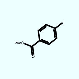 [CH2]OC(=O)c1ccc(I)cc1